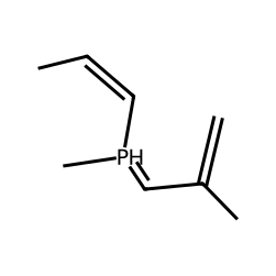 C=C(C)/C=[PH](C)\C=C/C